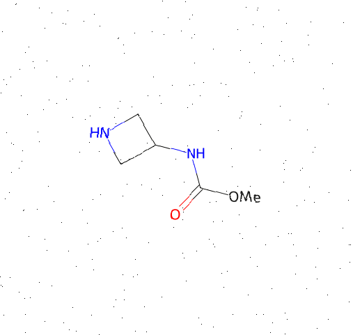 COC(=O)NC1CNC1